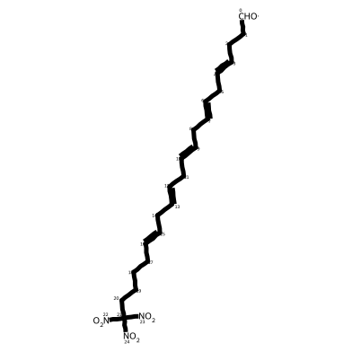 O=[C]CCC=CCC=CCC=CCC=CCC=CCCCCC([N+](=O)[O-])([N+](=O)[O-])[N+](=O)[O-]